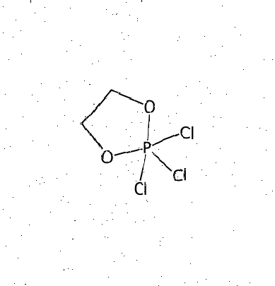 ClP1(Cl)(Cl)OCCO1